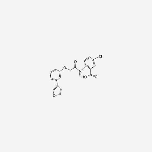 O=C(COc1cccc(-c2ccoc2)c1)Nc1ccc(Cl)cc1C(=O)O